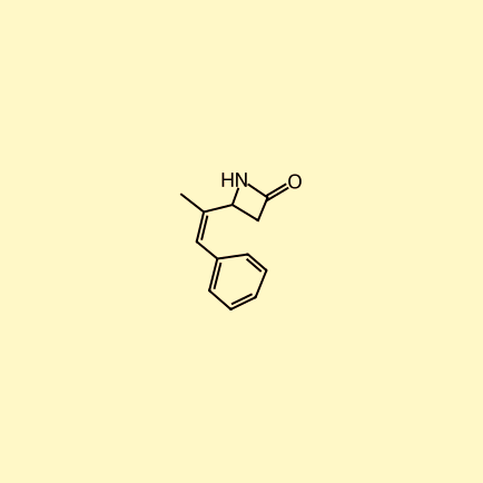 CC(=Cc1ccccc1)C1CC(=O)N1